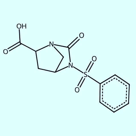 O=C(O)C1CC2CN1C(=O)N2S(=O)(=O)c1ccccc1